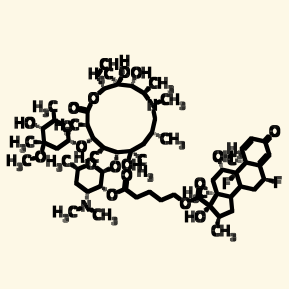 CC[C@H]1OC(=O)[C@H](C)[C@@H](O[C@@H]2C[C@](C)(OC)[C@H](O)C(C)O2)[C@H](C)[C@@H](O[C@@H]2O[C@H](C)C[C@@H](N(C)C)[C@H]2OC(=O)CCCCOC(=O)[C@@]2(O)[C@H](C)CC3C4C[C@H](F)C5=CC(=O)C=C[C@]5(C)[C@@]4(F)[C@@H](O)C[C@@]32C)[C@](C)(O)C[C@@H](C)CN(C)[C@H](C)[C@@H](O)[C@]1(C)O